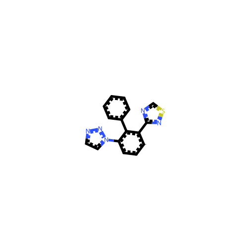 [c]1ccc(-n2ccnn2)c(-c2ccccc2)c1-c1ncsn1